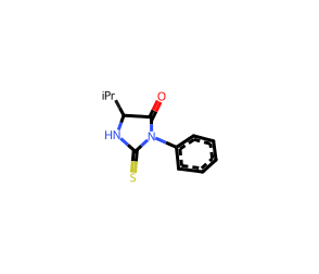 CC(C)C1NC(=S)N(c2ccccc2)C1=O